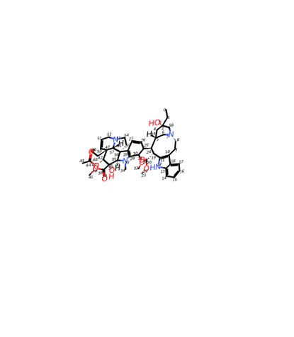 CC[C@]1(O)C[C@@H]2C[N@@](CCc3c([nH]c4ccccc34)[C@H](C(=O)OC)[C@H]2C2C=CC3=C(C2OC)N(C)[C@H]2[C@@](O)(C(=O)OC)[C@H](OC(C)=O)[C@]4(CC)C=CCN5CC[C@]32[C@@H]54)C1